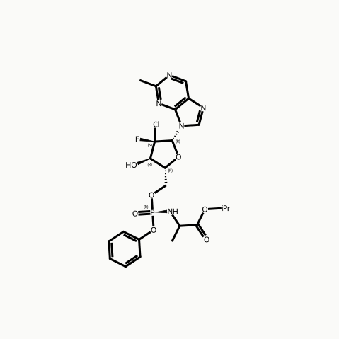 Cc1ncc2ncn([C@@H]3O[C@H](CO[P@](=O)(NC(C)C(=O)OC(C)C)Oc4ccccc4)[C@@H](O)[C@]3(F)Cl)c2n1